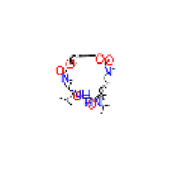 CC(C)N[C@]1(C)CCCN(C)C(=O)OCC=CCOC(=O)N2CC(C(=O)C(C)C)(C2)NCC1=O